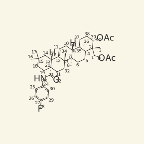 CC(=O)OC[C@]1(C)C2CC[C@]3(C)[C@H](CC=C4[C@H]5CC(C)(C)CC[C@]5(C(=O)Nc5ccc(F)cc5)CC[C@]43C)[C@@]2(C)CC[C@@H]1OC(C)=O